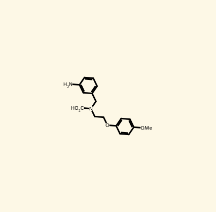 COc1ccc(OCCN(Cc2cccc(N)c2)C(=O)O)cc1